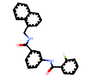 O=C(NCc1cccc2ccccc12)c1cccc(NC(=O)c2ccccc2F)c1